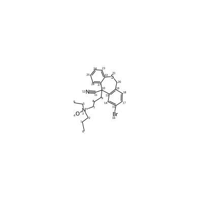 CCC[N+]([O-])(CC)CCCC1(C#N)c2cc(Br)ccc2CSc2ccccc21